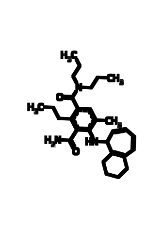 CCCc1c(C(=O)N(CCC)CCC)cc(C)c(NC2C=CC=CC3=C2CCCC3)c1C(N)=O